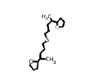 CC(CCCSCCCC(C)C1CCCO1)C1CCCO1